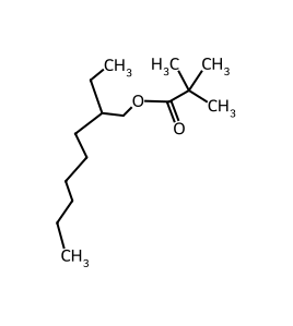 CCCCCCC(CC)COC(=O)C(C)(C)C